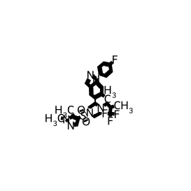 Cc1cc2c(cnn2-c2ccc(F)cc2)cc1[C@@H]1CN(S(=O)(=O)c2cnn(C)c2C)CCN1CC(C)C(F)(F)F